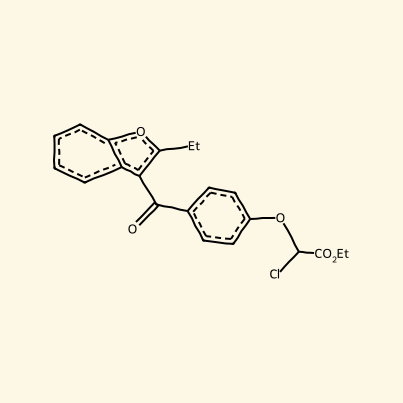 CCOC(=O)C(Cl)Oc1ccc(C(=O)c2c(CC)oc3ccccc23)cc1